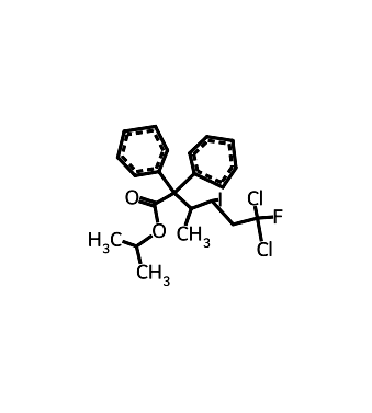 CC(C)OC(=O)C(c1ccccc1)(c1ccccc1)C(C)C(I)CC(F)(Cl)Cl